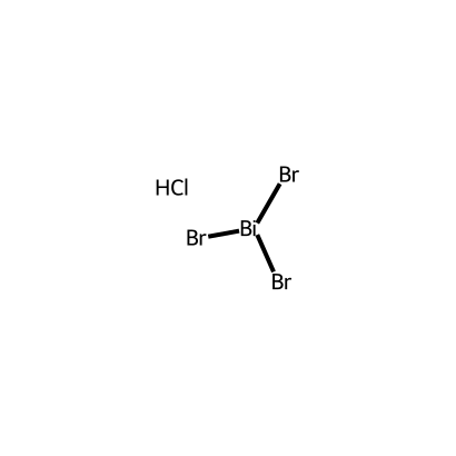 Cl.[Br][Bi]([Br])[Br]